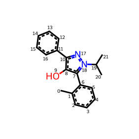 Cc1ccccc1-c1c(O)c(-c2ccccc2)nn1C(C)C